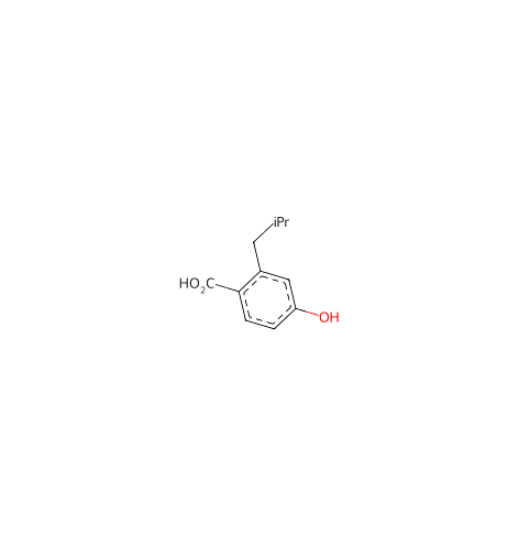 CC(C)Cc1cc(O)ccc1C(=O)O